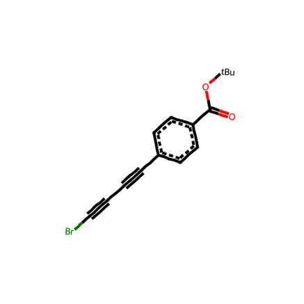 CC(C)(C)OC(=O)c1ccc(C#CC#CBr)cc1